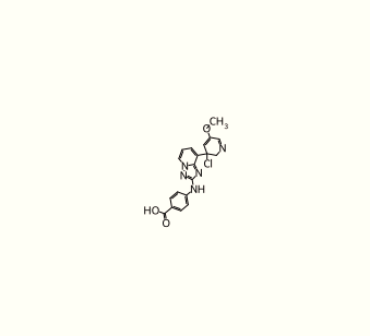 COC1=CC(Cl)(c2cccn3nc(Nc4ccc(C(=O)O)cc4)nc23)CN=C1